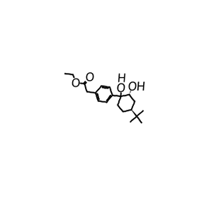 CCOC(=O)Cc1ccc(C2(O)CC[C@H](C(C)(C)C)C[C@H]2O)cc1